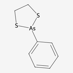 c1ccc([As]2SCCS2)cc1